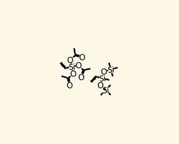 C=C[Si](C)(O[Si](C)(C)C)O[Si](C)(C)C.C=C[Si](OC(C)=O)(OC(C)=O)OC(C)=O